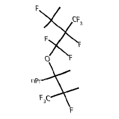 CCCC(C)(OC(F)(F)C(F)(C(C)(C)F)C(F)(F)F)C(C)(F)C(F)(F)F